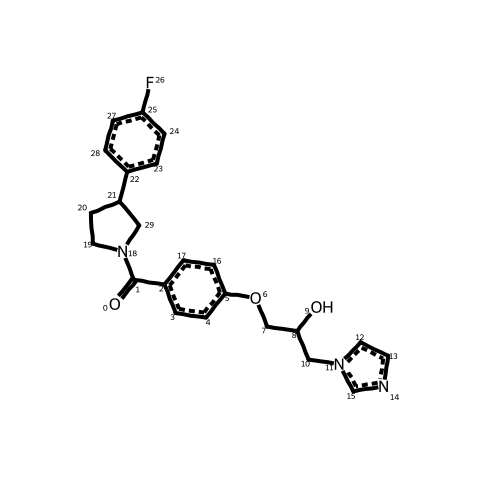 O=C(c1ccc(OCC(O)Cn2ccnc2)cc1)N1CCC(c2ccc(F)cc2)C1